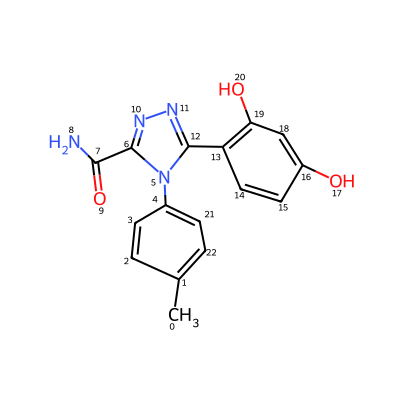 Cc1ccc(-n2c(C(N)=O)nnc2-c2ccc(O)cc2O)cc1